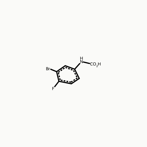 O=C(O)Nc1ccc(F)c(Br)c1